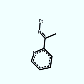 CCN=C(C)c1ccccn1